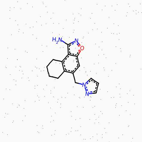 Nc1noc2cc(Cn3cccn3)c3c(c12)CCCC3